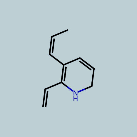 C=CC1=C(/C=C\C)C=CCN1